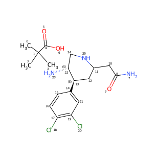 CC(C)(C)C(=O)O.NC(=O)CC1C[C@@H](c2ccc(Cl)c(Cl)c2)[C@H](N)CN1